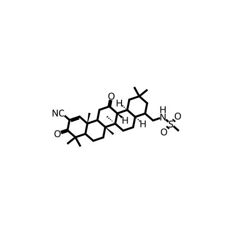 CC1(C)CC(CNS(C)(=O)=O)[C@H]2CC[C@]3(C)[C@H](C(=O)CC4[C@@]5(C)C=C(C#N)C(=O)C(C)(C)C5CC[C@]43C)[C@H]2C1